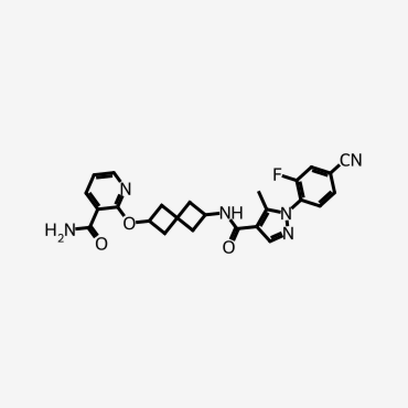 Cc1c(C(=O)NC2CC3(C2)CC(Oc2ncccc2C(N)=O)C3)cnn1-c1ccc(C#N)cc1F